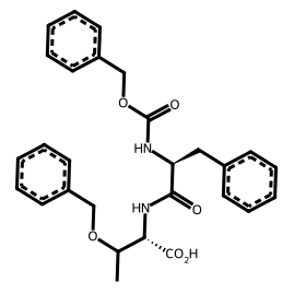 CC(OCc1ccccc1)[C@H](NC(=O)[C@H](Cc1ccccc1)NC(=O)OCc1ccccc1)C(=O)O